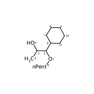 CCCCCOC(C(C)O)C1CCCCC1